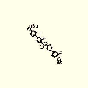 CCCCOc1ccc(-c2ccc(C(=O)OC3CCC(c4ccc(OCC)c(F)c4)CC3)c(F)c2F)cc1